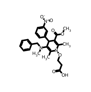 COC(=O)C1=C(C)N(OCCC(=O)O)C(C)=C(N(C)Cc2ccccc2)C1c1cccc([N+](=O)[O-])c1